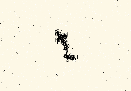 COc1cc(C(=O)N2CCC[C@@H](CC#Cc3cccc4c3CN([C@@H]3CCC(=O)NC3=O)C4=O)C2)ccc1NC(=O)[C@@H]1N[C@@H](CC(C)(C)C)[C@@]2(CNc3cc(OC(F)(F)F)ncc32)[C@H]1c1cccc(Cl)c1F